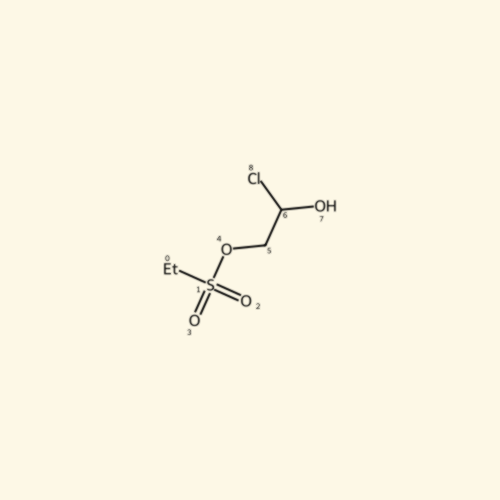 CCS(=O)(=O)OCC(O)Cl